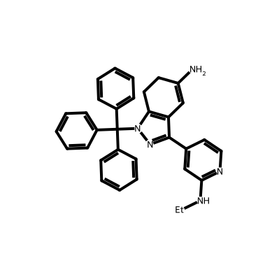 CCNc1cc(-c2nn(C(c3ccccc3)(c3ccccc3)c3ccccc3)c3c2C=C(N)CC3)ccn1